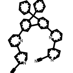 N#Cc1cc(-c2cccc(-c3ccc4c(c3)-c3cc(-c5cccc(-c6ccnc(C#N)c6)n5)ccc3C4(c3ccccc3)c3ccccc3)n2)ccn1